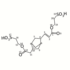 O=C(C=CC1CC2CC1CC2CC(=O)OCCS(=O)(=O)O)OCCS(=O)(=O)O